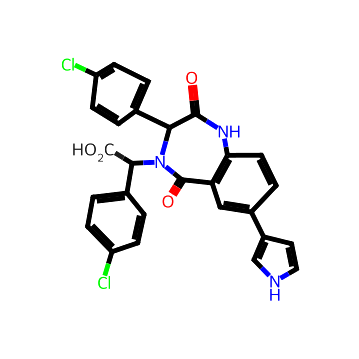 O=C(O)C(c1ccc(Cl)cc1)N1C(=O)c2cc(-c3cc[nH]c3)ccc2NC(=O)C1c1ccc(Cl)cc1